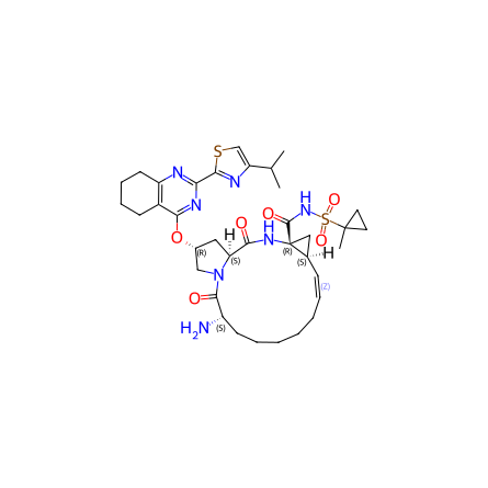 CC(C)c1csc(-c2nc3c(c(O[C@@H]4C[C@H]5C(=O)N[C@]6(C(=O)NS(=O)(=O)C7(C)CC7)C[C@H]6/C=C\CCCCC[C@H](N)C(=O)N5C4)n2)CCCC3)n1